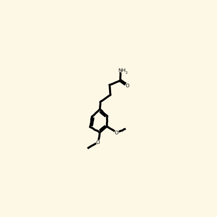 COc1ccc(CC[CH]C(N)=O)cc1OC